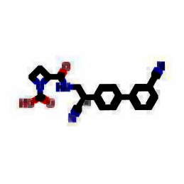 N#Cc1cccc(-c2ccc([C@@H](C#N)CNC(=O)C3CCN3C(=O)O)cc2)c1